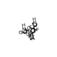 CC1CN(c2cc(F)c(C3=CCNCC3)c(F)c2NC(=O)c2c[nH]c(=O)cc2C(F)(F)F)CC(C)N1C